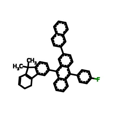 CC1(C)C2=C(CCC=C2)c2cc(-c3c4ccccc4c(-c4ccc(F)cc4)c4ccc(-c5ccc6ccccc6c5)cc34)ccc21